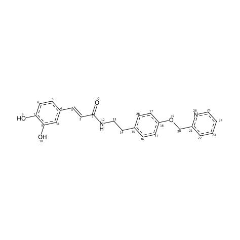 O=C(/C=C/c1ccc(O)c(O)c1)NCCc1ccc(OCc2ccccn2)cc1